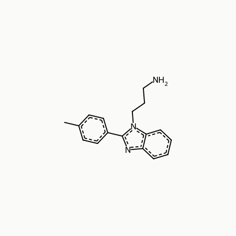 Cc1ccc(-c2nc3ccccc3n2CCCN)cc1